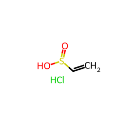 C=CS(=O)O.Cl